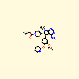 C=CC(=O)N1CC=C(c2c(-c3ccc(Oc4ccccn4)c(OC)c3)c3c(N)ncnc3n2C)CC1